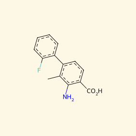 Cc1c(-c2ccccc2F)ccc(C(=O)O)c1N